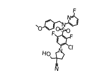 COc1ccc(CN(c2cccc(F)n2)S(=O)(=O)c2c(F)cc(N3CCC(C#N)(CO)C3)c(Cl)c2F)cc1